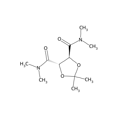 CN(C)C(=O)[C@H]1OC(C)(C)O[C@@H]1C(=O)N(C)C